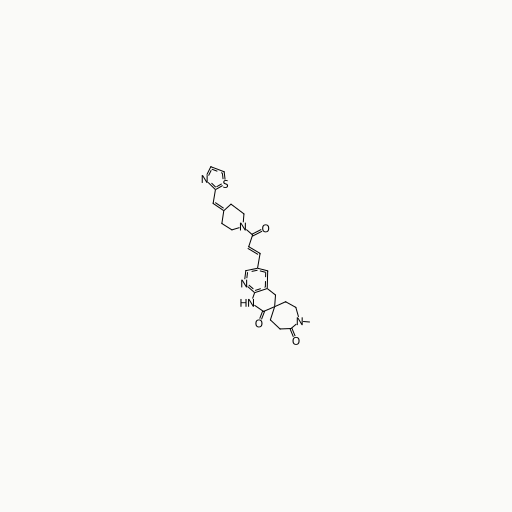 CN1CCC2(CCC1=O)Cc1cc(/C=C/C(=O)N3CCC(=Cc4nccs4)CC3)cnc1NC2=O